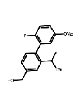 COc1ccc(F)c(-c2ccc(CO)cc2C(C)C(C)(C)C)c1